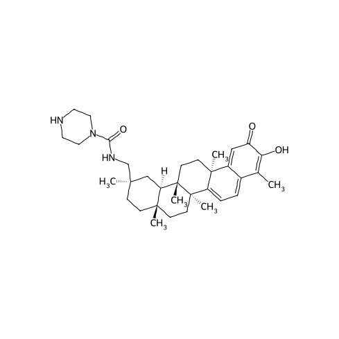 CC1=C(O)C(=O)C=C2C1=CC=C1[C@@]2(C)CC[C@@]2(C)[C@@H]3C[C@](C)(CNC(=O)N4CCNCC4)CC[C@@]3(C)CC[C@]12C